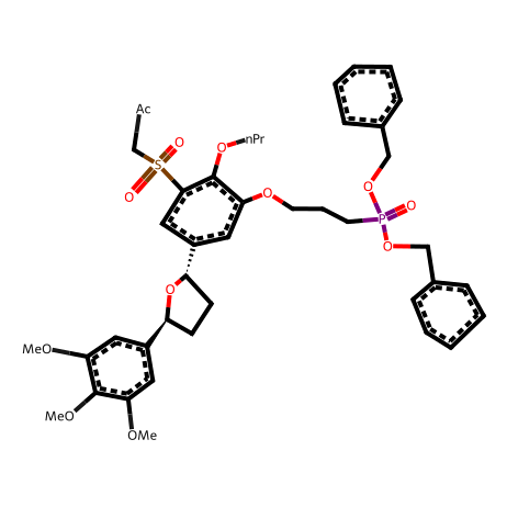 CCCOc1c(OCCCP(=O)(OCc2ccccc2)OCc2ccccc2)cc([C@@H]2CC[C@@H](c3cc(OC)c(OC)c(OC)c3)O2)cc1S(=O)(=O)CC(C)=O